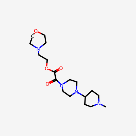 CN1CCC(N2CCN(C(=O)C(=O)OCCN3CCOCC3)CC2)CC1